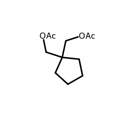 CC(=O)OCC1(COC(C)=O)CCCC1